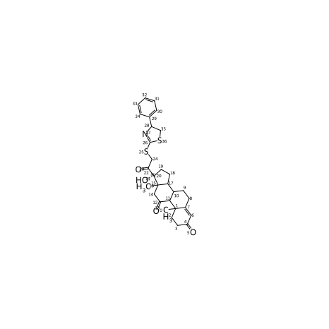 CC12CCC(=O)C=C1CCC1C2C(=O)CC2(C)C1CC[C@]2(O)C(=O)CSC1=NC(c2ccccc2)CS1